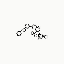 COC(=O)c1c(-c2cc(C)cc(Cl)c2)cnc2ccc(-c3cccc(OCc4ccccc4)c3)cc12